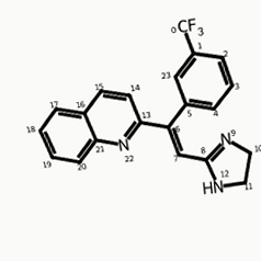 FC(F)(F)c1cccc(C(=CC2=NCCN2)c2ccc3ccccc3n2)c1